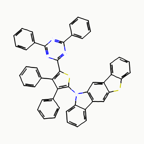 c1ccc(-c2nc(-c3ccccc3)nc(-c3sc(-n4c5ccccc5c5cc6sc7ccccc7c6cc54)c(-c4ccccc4)c3-c3ccccc3)n2)cc1